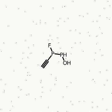 C#CP(F)PO